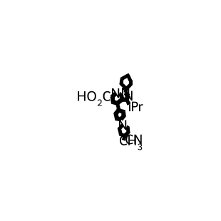 CC(C)c1nn(C2CCCCC2)c2nc(C(=O)O)cc(-c3ccc(N4CCC(C)(C#N)CC4)cc3)c12